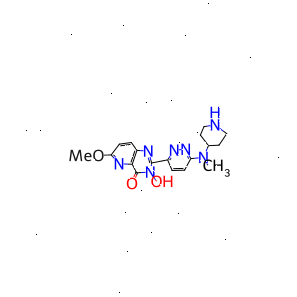 COc1ccc2nc(-c3ccc(N(C)C4CCNCC4)nn3)n(O)c(=O)c2n1